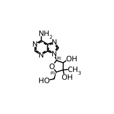 CC1(O)C(O)[C@H](n2cnc3c(N)ncnc32)O[C@@H]1CO